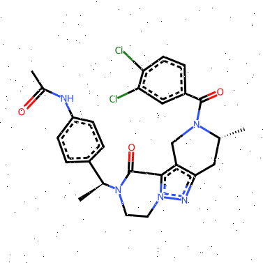 CC(=O)Nc1ccc([C@H](C)N2CCn3nc4c(c3C2=O)CN(C(=O)c2ccc(Cl)c(Cl)c2)[C@H](C)C4)cc1